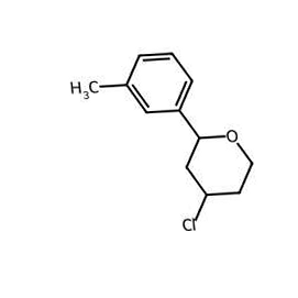 Cc1cccc(C2CC(Cl)CCO2)c1